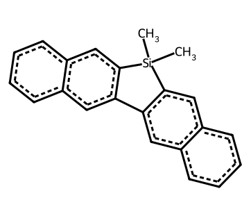 C[Si]1(C)c2cc3ccccc3cc2-c2cc3ccccc3cc21